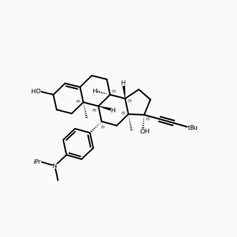 CC(C)N(C)c1ccc([C@H]2C[C@@]3(C)[C@@H](CC[C@@]3(O)C#CC(C)(C)C)[C@@H]3CCC4=CC(O)CC[C@]4(C)[C@H]32)cc1